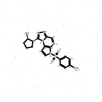 CC[C@@H]1C[CH]C[C@@H]1c1nnc2cnc3c(ccn3S(=O)(=O)c3ccc(C)cc3)n12